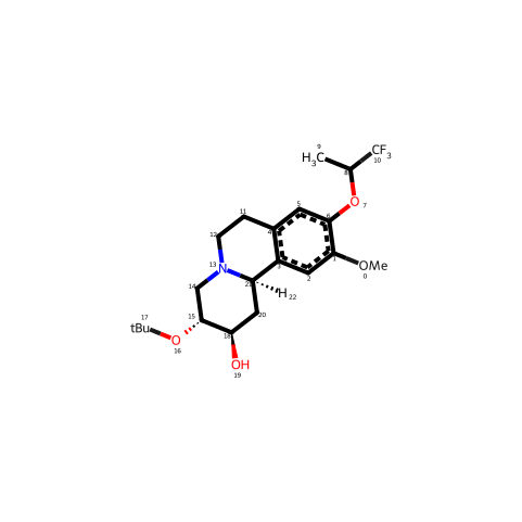 COc1cc2c(cc1OC(C)C(F)(F)F)CCN1C[C@@H](OC(C)(C)C)[C@H](O)C[C@H]21